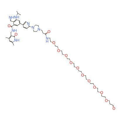 Cc1cc(C)c(CNC(=O)c2cc(-c3ccc(N4CCN(CCC(=O)NCCOCCOCCOCCOCCOCCOCCOCCOCCOCCOCCC=O)CC4)nc3)cc(NC(C)C)c2C=N)c(=O)[nH]1